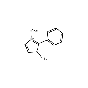 CCCCCCCCC[n+]1ccn(CCCC)c1-c1ccccc1